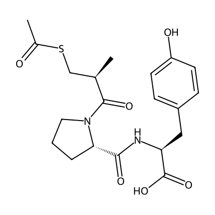 CC(=O)SC[C@@H](C)C(=O)N1CCC[C@H]1C(=O)N[C@@H](Cc1ccc(O)cc1)C(=O)O